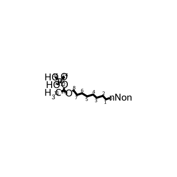 CCCCCCCCCCCCCCCCCOC(C)OP(=O)(O)O